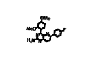 COc1ccc(-c2nc(N)nc3ccc(-c4ccc(F)cc4)nc23)c(OC)c1